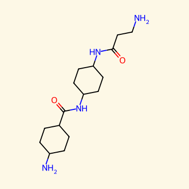 NCCC(=O)NC1CCC(NC(=O)C2CCC(N)CC2)CC1